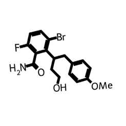 COc1ccc(CC(CCO)c2c(Br)ccc(F)c2C(N)=O)cc1